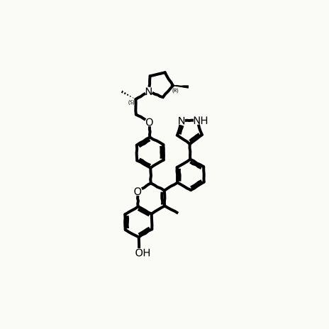 CC1=C(c2cccc(-c3cn[nH]c3)c2)C(c2ccc(OC[C@H](C)N3CC[C@@H](C)C3)cc2)Oc2ccc(O)cc21